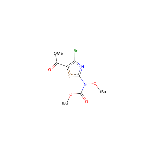 COC(=O)c1sc(N(OC(C)(C)C)C(=O)OC(C)(C)C)nc1Br